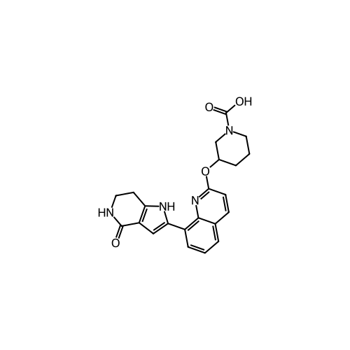 O=C1NCCc2[nH]c(-c3cccc4ccc(OC5CCCN(C(=O)O)C5)nc34)cc21